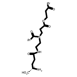 CC(C)C(=O)CCOC(=O)CCN(CCNC(=O)CC[C@H](N)C(=O)O)C(=O)C(C)C